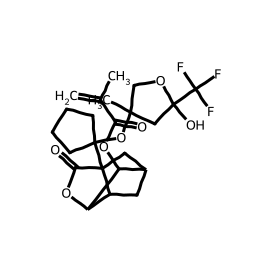 C=C(C)C(=O)OC1C2CC3C1OC(=O)C3(C1(OC3(C)COC(O)(C(F)(F)F)C3)CCCC1)C2